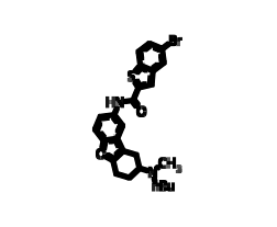 CCCCN(C)C1CCc2oc3ccc(NC(=O)c4cc5cc(Br)ccc5s4)cc3c2C1